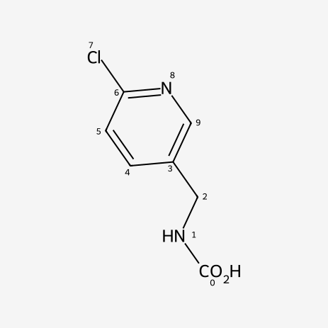 O=C(O)NCc1ccc(Cl)nc1